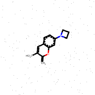 C=C1Oc2cc(N3CCC3)ccc2C=C1C(=O)O